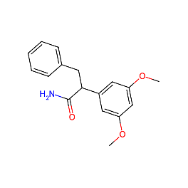 COc1cc(OC)cc(C(Cc2ccccc2)C(N)=O)c1